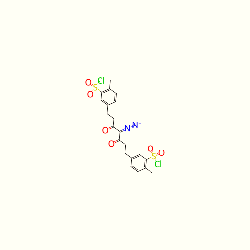 Cc1ccc(CCC(=O)C(=[N+]=[N-])C(=O)CCc2ccc(C)c(S(=O)(=O)Cl)c2)cc1S(=O)(=O)Cl